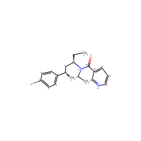 CC[C@H](C[C@@H](C)c1ccc(F)cc1)N(CC)C(=O)c1cccnc1